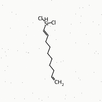 C=CCCCCCCC=C[SiH](Cl)Cl